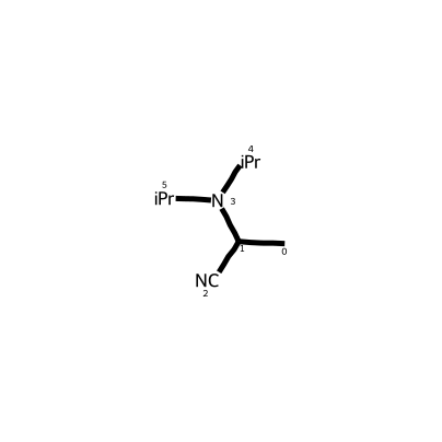 C[C](C#N)N(C(C)C)C(C)C